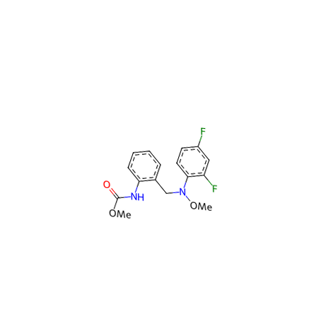 COC(=O)Nc1ccccc1CN(OC)c1ccc(F)cc1F